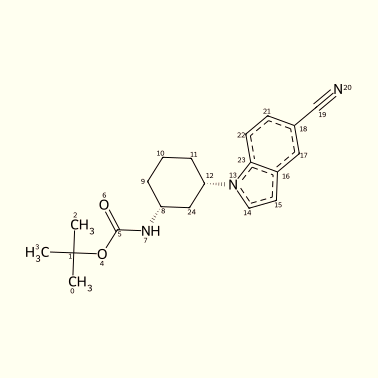 CC(C)(C)OC(=O)N[C@@H]1CCC[C@H](n2ccc3cc(C#N)ccc32)C1